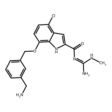 CNC(N)=NC(=O)c1cc2c(Cl)ccc(OCc3cccc(CN)c3)c2[nH]1